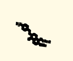 CCCCCOc1c(OC)ccc2c1CCN(CCc1ccc(N)cc1)C2=O